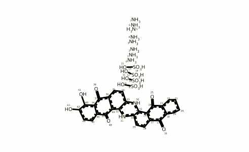 N.N.N.N.N.N.N.N.O=S(=O)(O)O.O=S(=O)(O)O.O=S(=O)(O)O.O=S(=O)(O)O.O=c1c2ccccc2c(=O)c2c1ccc1[nH]c3c(ccc4c(=O)c5c(O)c(O)ccc5c(=O)c43)[nH]c12